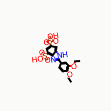 CCOc1ccc(-c2nc3c(S(=O)(=O)O)cc(S(=O)(=O)O)cc3[nH]2)cc1OCC